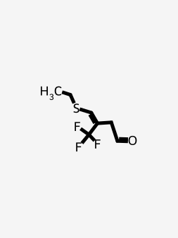 CCSC=C(CC=O)C(F)(F)F